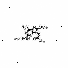 CCC[C@H](C)Nc1nc(N)c2nc(OC)n(OC(=O)C(F)(F)F)c2n1